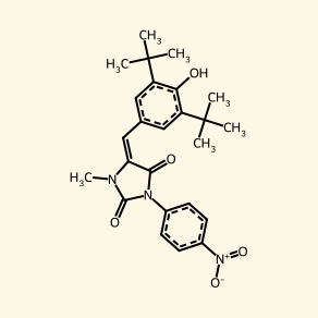 CN1C(=O)N(c2ccc([N+](=O)[O-])cc2)C(=O)C1=Cc1cc(C(C)(C)C)c(O)c(C(C)(C)C)c1